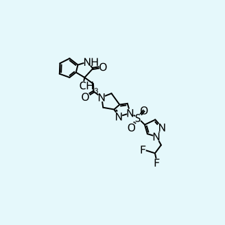 CC1(CC(=O)N2Cc3cn(S(=O)(=O)c4cnn(CC(F)F)c4)nc3C2)C(=O)Nc2ccccc21